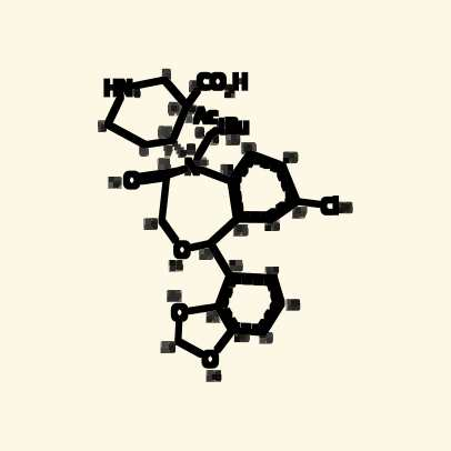 CC(=O)[C@@]1(C(=O)O)CNCC[C@H]1[N+]1(CC(C)(C)C)C(=O)COC(c2cccc3c2OCO3)c2cc(Cl)ccc21